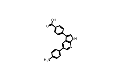 Nc1ccc(-c2cnc3[nH]cc(-c4ccc(C(=O)O)cc4)c3c2)cc1